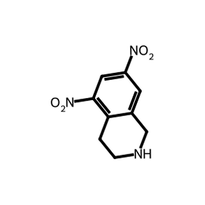 O=[N+]([O-])c1cc2c(c([N+](=O)[O-])c1)CCNC2